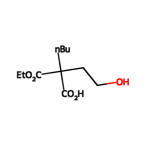 CCCCC(CCO)(C(=O)O)C(=O)OCC